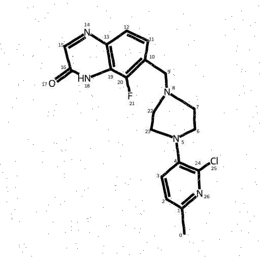 Cc1ccc(N2CCN(Cc3ccc4ncc(=O)[nH]c4c3F)CC2)c(Cl)n1